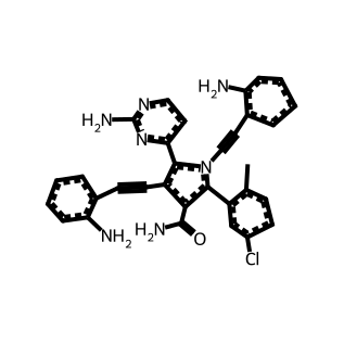 Cc1ccc(Cl)cc1-c1c(C(N)=O)c(C#Cc2ccccc2N)c(-c2ccnc(N)n2)n1C#Cc1ccccc1N